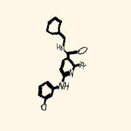 CC(C)c1nc(Nc2cccc(Cl)c2)ccc1C(=O)NCC1CCCCC1